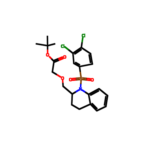 CC(C)(C)OC(=O)COCC1CCc2ccccc2N1S(=O)(=O)c1ccc(Cl)c(Cl)c1